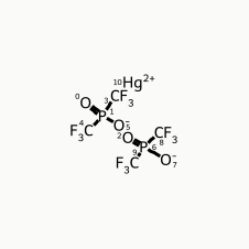 O=P([O-])(C(F)(F)F)C(F)(F)F.O=P([O-])(C(F)(F)F)C(F)(F)F.[Hg+2]